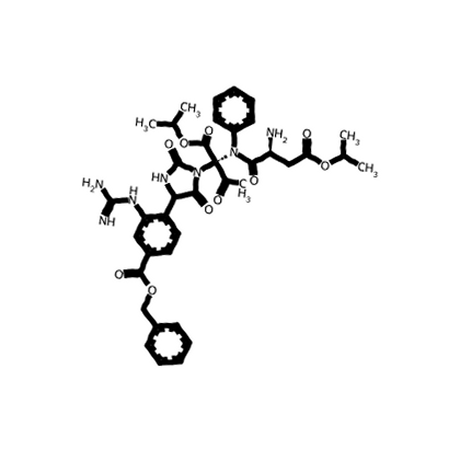 CC(=O)[C@](C(=O)OC(C)C)(N1C(=O)NC(c2ccc(C(=O)OCc3ccccc3)cc2NC(=N)N)C1=O)N(C(=O)[C@@H](N)CC(=O)OC(C)C)c1ccccc1